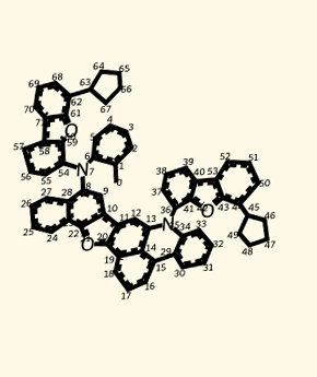 Cc1ccccc1N(c1cc2c3cc4c5c(cccc5c3oc2c2ccccc12)-c1ccccc1N4c1cccc2c1oc1c(C3CCCC3)cccc12)c1cccc2c1oc1c(C3CCCC3)cccc12